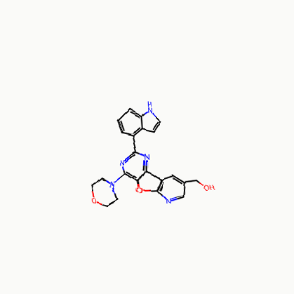 OCc1cnc2oc3c(N4CCOCC4)nc(-c4cccc5[nH]ccc45)nc3c2c1